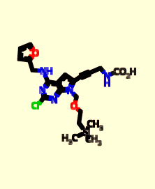 C[Si](C)(C)CCOCn1c(C#CCNC(=O)O)cc2c(NCc3ccco3)nc(Cl)nc21